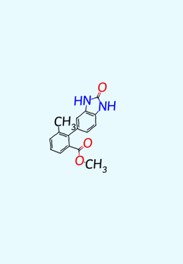 COC(=O)c1cccc(C)c1-c1ccc2[nH]c(=O)[nH]c2c1